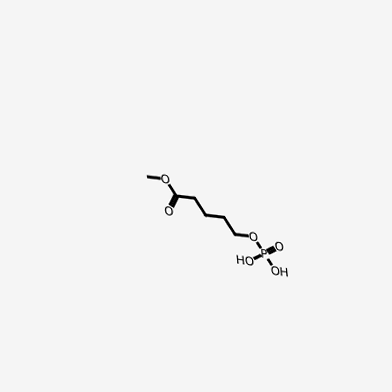 COC(=O)CCCCOP(=O)(O)O